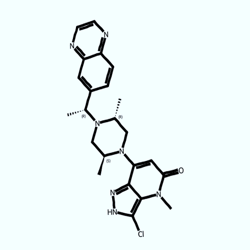 C[C@@H]1CN(c2cc(=O)n(C)c3c(Cl)[nH]nc23)[C@@H](C)CN1[C@H](C)c1ccc2nccnc2c1